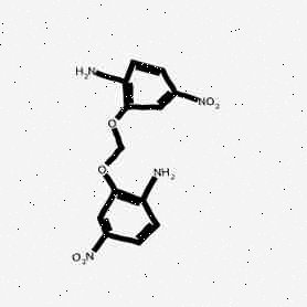 Nc1ccc([N+](=O)[O-])cc1OCOc1cc([N+](=O)[O-])ccc1N